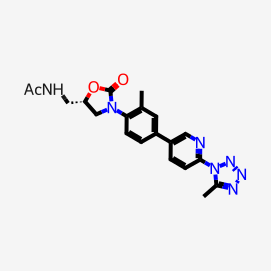 CC(=O)NC[C@H]1CN(c2ccc(-c3ccc(-n4nnnc4C)nc3)cc2C)C(=O)O1